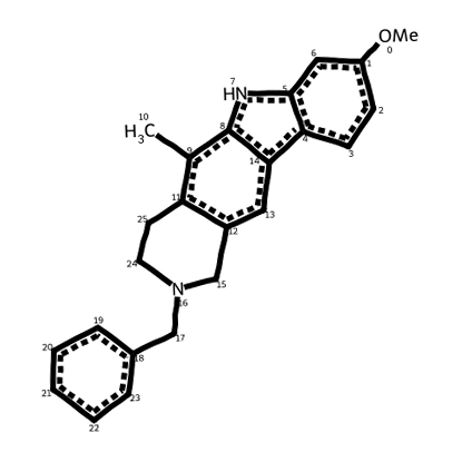 COc1ccc2c(c1)[nH]c1c(C)c3c(cc12)CN(Cc1ccccc1)CC3